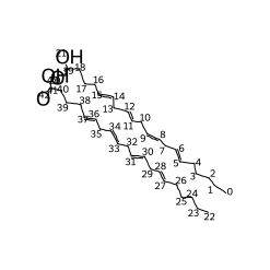 CCCCCC=CCC=CCC=CCC=CCCCC(=O)O.CCCCCC=CCC=CCC=CCC=CCCCC(=O)O